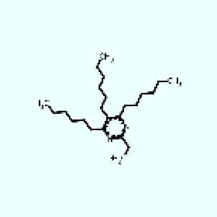 [CH2]Cc1nc(CCCCCC)c(CCCCCC)c(CCCCCC)n1